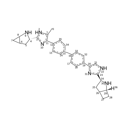 Cc1[nH]c([C@@H]2CC3CC3N2)nc1-c1ccc(-c2ccc(-c3c[nH]c([C@@H]4CC5CC[C@H]5N4)n3)cc2)cc1